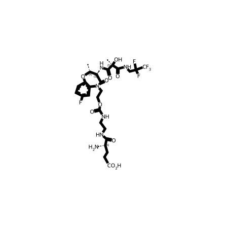 C[C@H]1Oc2ccc(F)cc2N(CCOC(=O)NCCNC(=O)[C@@H](N)CCC(=O)O)C(=O)[C@H]1NC(=O)[C@@](C)(O)C(=O)NCC(F)(F)C(F)(F)F